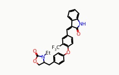 CCN1C(=O)OCC1Cc1ccc(Oc2ccc(/C=C3\C(=O)Nc4ccccc43)cc2C(F)(F)F)cc1